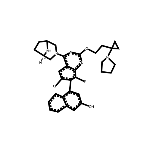 Oc1cc(-c2c(Cl)cc3c(N4CC5CC[C@H](C4)N5)nc(OCCC4(N5CCCC5)CC4)nc3c2F)c2ccccc2c1